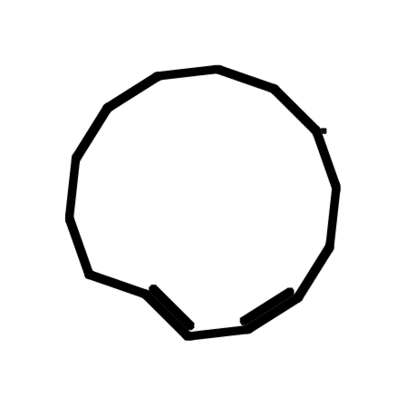 [CH]1CC/C=C\C=C\CCCCCCC1